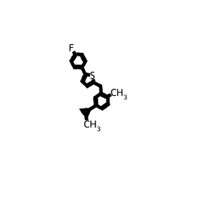 CC1=C(c2ccc(C)c(Cc3ccc(-c4ccc(F)cc4)s3)c2)C1